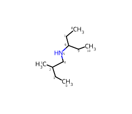 CCC(C)CNC(CC)CC